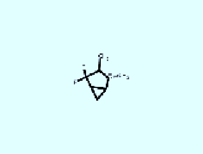 CC1[C@H](C)C2CC2C1(F)F